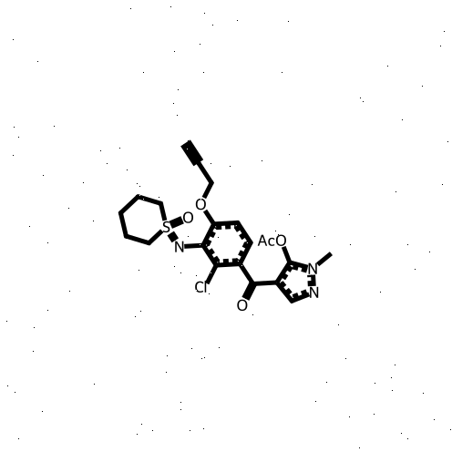 C#CCOc1ccc(C(=O)c2cnn(C)c2OC(C)=O)c(Cl)c1N=S1(=O)CCCCC1